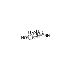 CN[C@H]1CC[C@@H]2[C@@H]3CC[C@H]4C[C@@H](O)CC[C@]4(C)[C@H]3CC[C@]12C